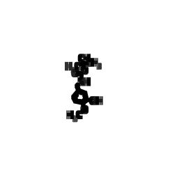 COc1ccc(CNC(=O)OC(C)(C)C)cc1O